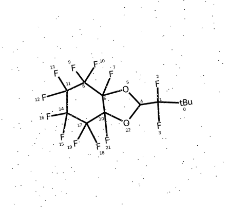 CC(C)(C)C(F)(F)C1OC2(F)C(F)(F)C(F)(F)C(F)(F)C(F)(F)C2(F)O1